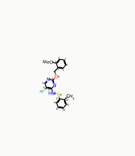 COc1ccccc1COc1ncc(F)c(NSc2ccccc2C)n1